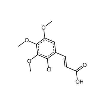 COc1cc(C=CC(=O)O)c(Cl)c(OC)c1OC